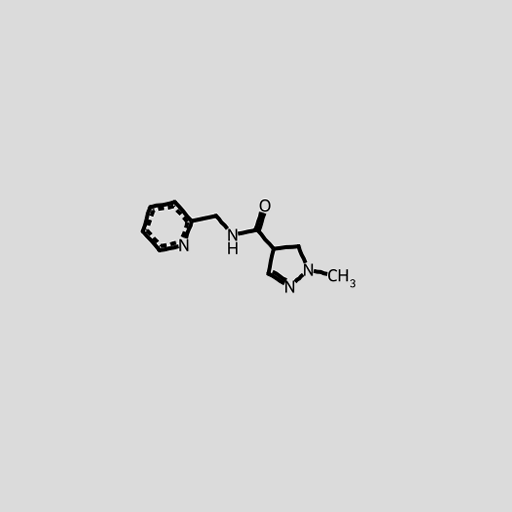 CN1CC(C(=O)NCc2ccccn2)C=N1